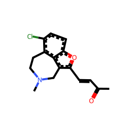 CC(=O)C=Cc1oc2ccc(Cl)c3c2c1CN(C)CC3